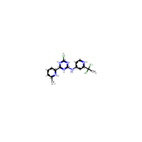 CC(F)(F)c1cc(Nc2nc(Cl)nc(-c3cccc(C(F)(F)F)n3)n2)ccn1